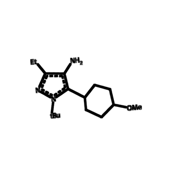 CCc1nn(C(C)(C)C)c(C2CCC(OC)CC2)c1N